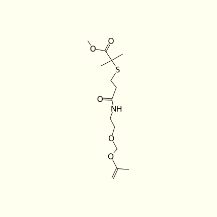 C=C(C)OCOCCNC(=O)CCSC(C)(C)C(=O)OC